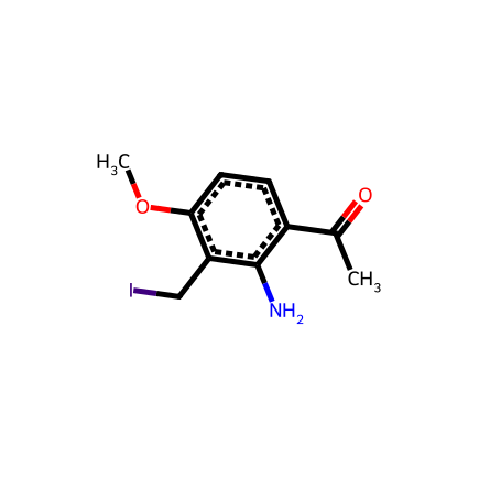 COc1ccc(C(C)=O)c(N)c1CI